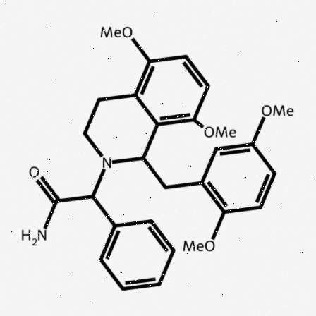 COc1ccc(OC)c(CC2c3c(OC)ccc(OC)c3CCN2C(C(N)=O)c2ccccc2)c1